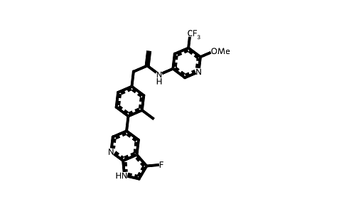 C=C(Cc1ccc(-c2cnc3[nH]cc(F)c3c2)c(C)c1)Nc1cnc(OC)c(C(F)(F)F)c1